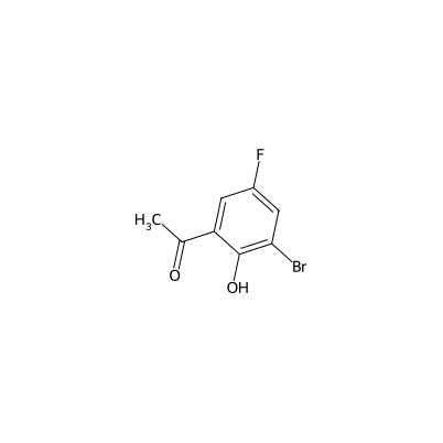 CC(=O)c1cc(F)cc(Br)c1O